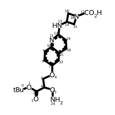 CC(C)(C)OC(=O)C(COc1ccc2nc(NC3CN(C(=O)O)C3)ccc2c1)ON